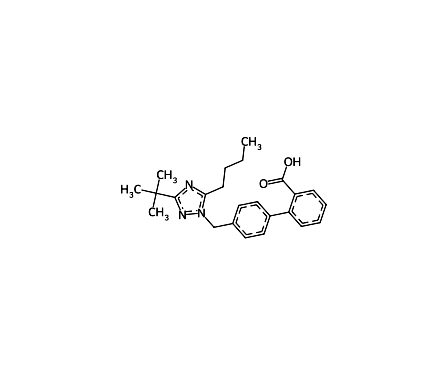 CCCCc1nc(C(C)(C)C)nn1Cc1ccc(-c2ccccc2C(=O)O)cc1